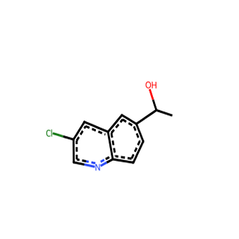 CC(O)c1ccc2ncc(Cl)cc2c1